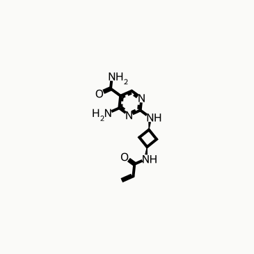 C=CC(=O)N[C@H]1C[C@@H](Nc2ncc(C(N)=O)c(N)n2)C1